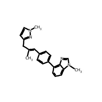 C/C(=C\c1ccc(-c2cccc3c2ncn3C)cc1)Cc1ccn(C)n1